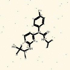 CC(C)NC(=O)N(c1ccc(F)cc1)c1ccnc(N[C@@H](C)C(C)(C)O)n1